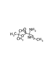 CCCC(N)(N)C(=O)OC(C)(C)C